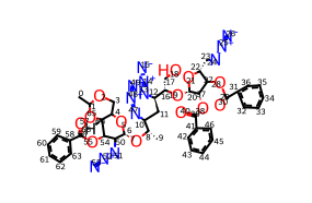 CC1OCC2O[C@H](O[C@@H](C)C(C[C@@H](N=[N+]=[N-])[C@H](CO)O[C@@H]3O[C@H](CN=[N+]=[N-])C(OC(=O)c4ccccc4)[C@@H]3OC(=O)c3ccccc3)N=[N+]=[N-])C(N=[N+]=[N-])[C@@H](OC(=O)c3ccccc3)[C@@H]2O1